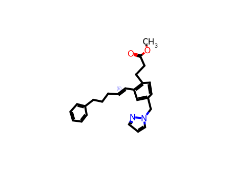 COC(=O)CCc1ccc(Cn2cccn2)cc1/C=C/CCCc1ccccc1